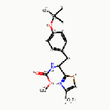 CCOC(=O)c1csc(C(Cc2ccc(O[Si](C)(C)C(C)(C)C)cc2)NC(=O)OC(C)(C)C)n1